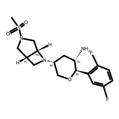 CS(=O)(=O)N1C[C@H]2CN([C@H]3CO[C@H](c4cc(F)ccc4F)[C@@H](N)C3)[C@H]2C1